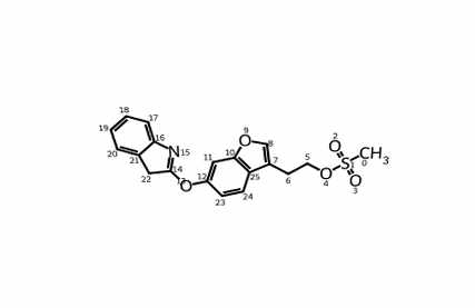 CS(=O)(=O)OCCc1coc2cc(OC3=Nc4ccccc4C3)ccc12